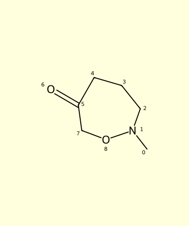 CN1CCCC(=O)CO1